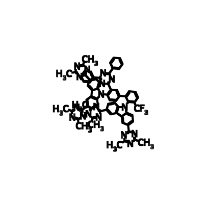 Cc1nc(C)nc(-c2ccc3c(c2)c2cc(-c4nc(C)nc(C)n4)ccc2n3-c2ccc(-c3cccc(C(F)(F)F)c3-n3c4ccc(-c5nc(C)nc(C)n5)cc4c4cc(-c5nc(C)nc(C)n5)ccc43)cc2-c2nc(-c3ccccc3)nc(-c3ccccc3)n2)n1